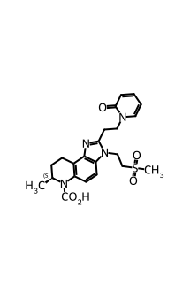 C[C@H]1CCc2c(ccc3c2nc(CCn2ccccc2=O)n3CCS(C)(=O)=O)N1C(=O)O